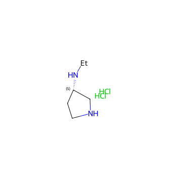 CCN[C@H]1CCNC1.Cl.Cl